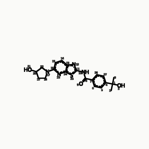 CC(C)(O)c1ccc(C(=O)Nc2nc3ccc(N4CCC(O)C4)nc3s2)cc1